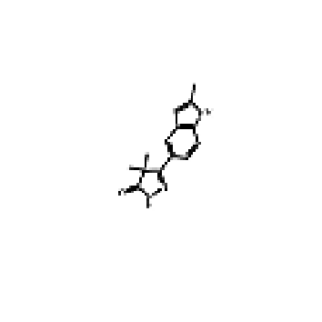 Cc1cc2cc(C3=NNC(=O)C3(C)C)ccc2[nH]1